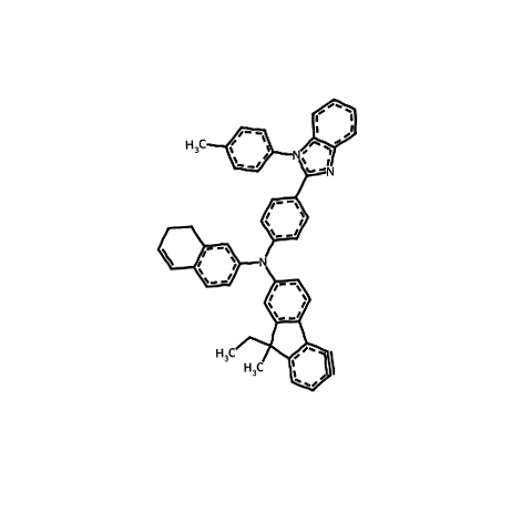 CCC1(C)c2ccc#cc2-c2ccc(N(c3ccc(-c4nc5ccccc5n4-c4ccc(C)cc4)cc3)c3ccc4c(c3)CCC=C4)cc21